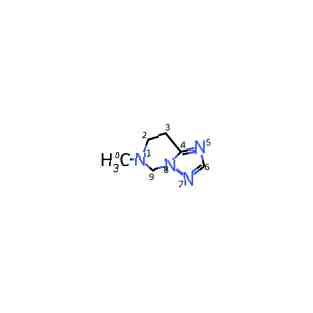 CN1CCc2ncnn2C1